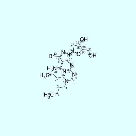 CCCCN(/C=N\c1nc(N)c2c(Br)nn([C@H]3C[C@H](O)[C@@H](CO)O3)c2n1)CCCC